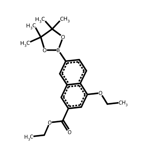 CCOC(=O)c1cc(OCC)c2ccc(B3OC(C)(C)C(C)(C)O3)cc2c1